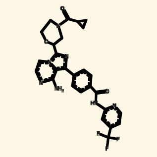 Nc1nccn2c(C3CN(C(=O)C4CC4)CCO3)nc(-c3ccc(C(=O)Nc4cc(C(F)(F)F)ccn4)cc3)c12